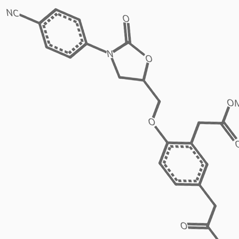 COC(=O)Cc1ccc(OCC2CN(c3ccc(C#N)cc3)C(=O)O2)c(CC(=O)OC)c1